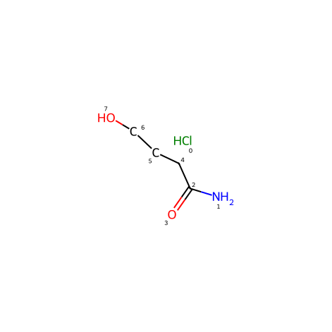 Cl.NC(=O)CCCO